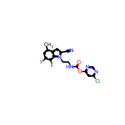 Cc1cc(F)c(F)c2c1cc(C#N)n2CCNC(=O)Oc1cc(Cl)ncn1